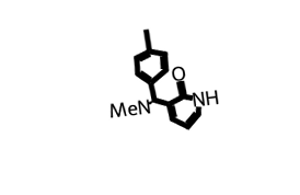 CN[C@H](c1ccc(C)cc1)c1ccc[nH]c1=O